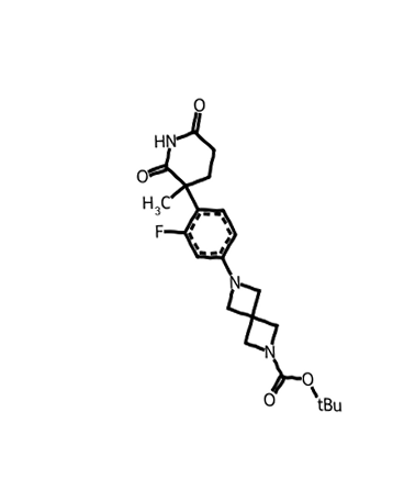 CC(C)(C)OC(=O)N1CC2(C1)CN(c1ccc(C3(C)CCC(=O)NC3=O)c(F)c1)C2